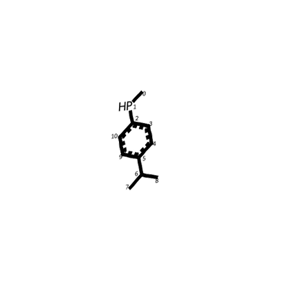 CPc1ccc(C(C)C)cc1